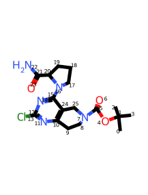 CC(C)(C)OC(=O)N1CCc2nc(Cl)nc(N3CCCC3C(N)=O)c2C1